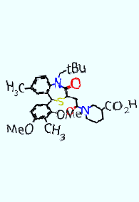 COc1ccc(C2SC(CC(=O)N3CCCC(C(=O)O)C3)C(=O)N(CC(C)(C)C)c3ccc(C)cc32)c(OC)c1C